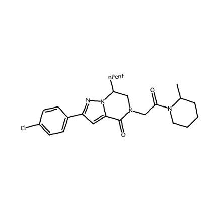 CCCCCC1CN(CC(=O)N2CCCCC2C)C(=O)c2cc(-c3ccc(Cl)cc3)nn21